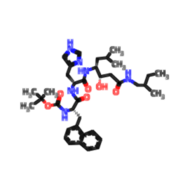 CCC(C)CNC(=O)C[C@H](O)[C@H](CC(C)C)NC(=O)[C@H](Cc1c[nH]cn1)NC(=O)[C@H](Cc1cccc2ccccc12)NC(=O)OC(C)(C)C